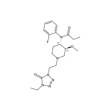 CCC(=O)N(c1ccccc1F)[C@H]1CCN(CCn2nnn(CC)c2=O)C[C@@H]1OC